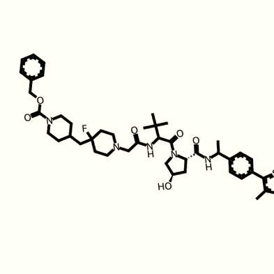 Cc1ncsc1-c1ccc(C(C)NC(=O)[C@@H]2C[C@@H](O)CN2C(=O)C(NC(=O)CN2CCC(F)(CC3CCN(C(=O)OCc4ccccc4)CC3)CC2)C(C)(C)C)cc1